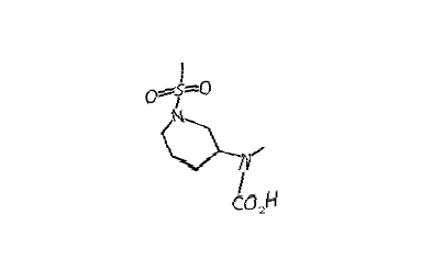 CN(C(=O)O)C1CCCN(S(C)(=O)=O)C1